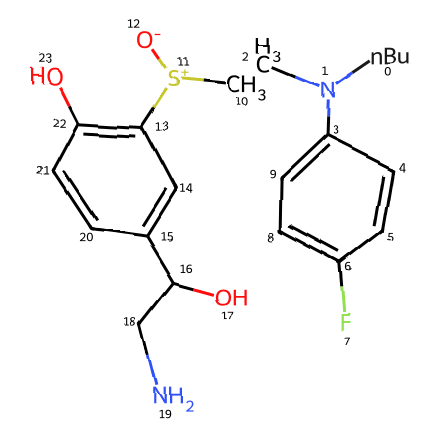 CCCCN(C)c1ccc(F)cc1.C[S+]([O-])c1cc(C(O)CN)ccc1O